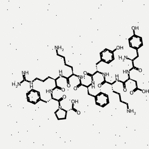 N=C(N)NCCC[C@@H](NC(=O)[C@@H](CCCCN)NC(=O)[C@H](Cc1ccccc1)NC(=O)[C@H](Cc1ccc(O)cc1)NC(=O)[C@@H](CCCCN)NC(=O)[C@H](CC(=O)O)NC(=O)[C@@H](N)Cc1ccc(O)cc1)C(=O)N[C@@H](Cc1ccccc1)C(=O)N1CCC[C@H]1C(=O)O